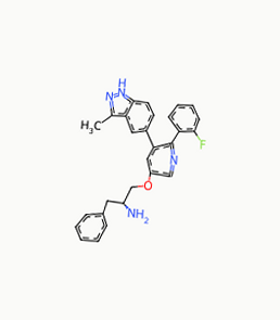 Cc1n[nH]c2ccc(-c3cc(OC[C@@H](N)Cc4ccccc4)cnc3-c3ccccc3F)cc12